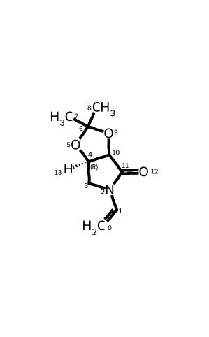 C=CN1C[C@H]2OC(C)(C)OC2C1=O